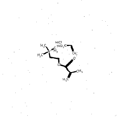 C=C(C)C(=O)OCC[N+](C)(C)C.C=CC(=O)O.Cl